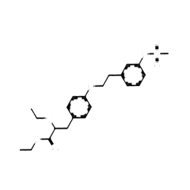 CCOC(=O)C(Cc1ccc(OCCc2cccc(OS(C)(=O)=O)c2)cc1)OCC